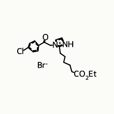 CCOC(=O)CCCCCc1[nH]cc[n+]1CC(=O)c1ccc(Cl)cc1.[Br-]